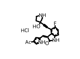 CC(=O)c1c[nH]c(/C=C2\C(=O)Nc3ccc(F)c(C#CC4(O)CCNC4)c32)c1.Cl